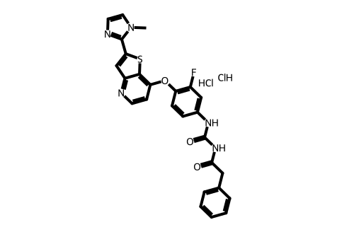 Cl.Cl.Cn1ccnc1-c1cc2nccc(Oc3ccc(NC(=O)NC(=O)Cc4ccccc4)cc3F)c2s1